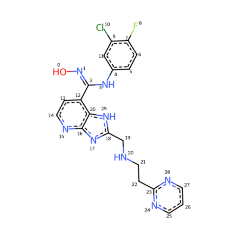 O/N=C(/Nc1ccc(F)c(Cl)c1)c1ccnc2nc(CNCCc3ncccn3)[nH]c12